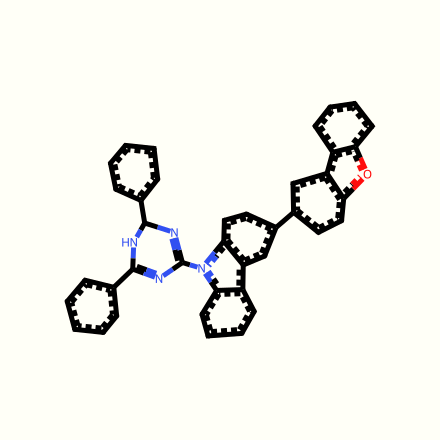 c1ccc(C2=NC(n3c4ccccc4c4cc(-c5ccc6oc7ccccc7c6c5)ccc43)=NC(c3ccccc3)N2)cc1